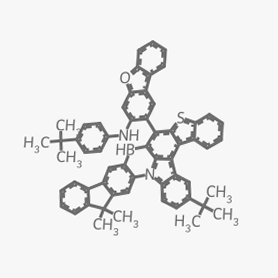 CC(C)(C)c1ccc(Nc2cc3oc4ccccc4c3cc2-c2c3c4c(c5cc(C(C)(C)C)ccc5n4-c4cc5c(cc4B3)-c3ccccc3C5(C)C)c3c2sc2ccccc23)cc1